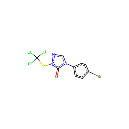 O=c1n(-c2ccc(Br)cc2)cnn1SC(Cl)(Cl)Cl